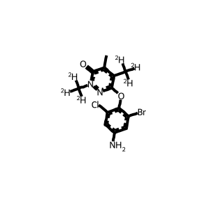 [2H]C([2H])([2H])c1c(Oc2c(Cl)cc(N)cc2Br)nn(C([2H])([2H])[2H])c(=O)c1C